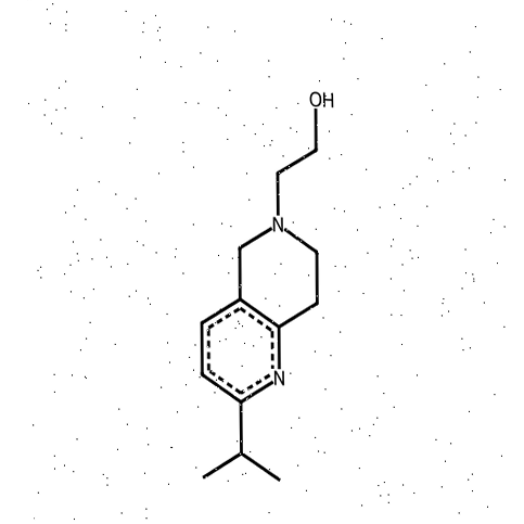 CC(C)c1ccc2c(n1)CCN(CCO)C2